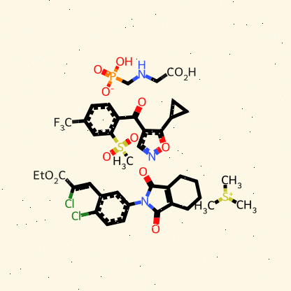 CCOC(=O)/C(Cl)=C/c1cc(N2C(=O)C3=C(CCCC3)C2=O)ccc1Cl.CS(=O)(=O)c1cc(C(F)(F)F)ccc1C(=O)c1cnoc1C1CC1.C[S+](C)C.O=C(O)CNCP(=O)([O-])O